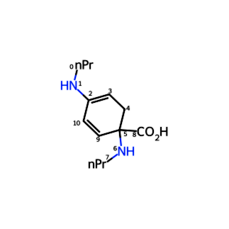 CCCNC1=CCC(NCCC)(C(=O)O)C=C1